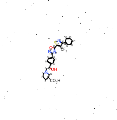 O=C(O)[C@H]1CCCN(CC(O)c2ccc(-c3noc(-c4snc(-c5ccccc5)c4C(F)(F)F)n3)cc2)C1